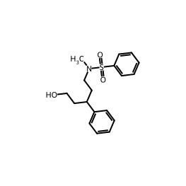 CN(CCC(CCO)c1ccccc1)S(=O)(=O)c1ccccc1